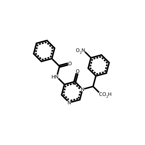 O=C(Nc1cncn(C(C(=O)O)c2cccc([N+](=O)[O-])c2)c1=O)c1ccccc1